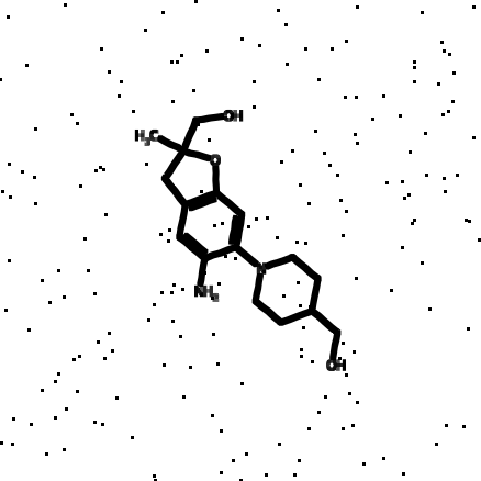 CC1(CO)Cc2cc(N)c(N3CCC(CO)CC3)cc2O1